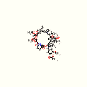 CC[C@@H]1/C=C(\C)C[C@H](C)C[C@H](OC)[C@H]2O[C@@](O)(C(=O)C(=O)N3CCCC[C@H]3C(=O)O[C@H](/C(C)=C/C3CC[C@@H](OC(C)=O)[C@H](OC)C3)[C@@H](C)[C@@H](CC(C)(C)[Si](C)(C)O)CC1=O)[C@H](C)C[C@@H]2OC